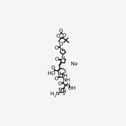 CC(C)(C)c1oc(=O)oc1COC(=O)N1CC[C@@H](N2CCC(=CC3=C(C(=O)O)N4C(=O)[C@@H](NC(=O)C(=NO)c5nsc(N)n5)[C@H]4SC3)C2=O)C1.[Na]